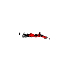 C=CCCCOc1ccc(C2=CCC(CCc3ccc(-c4ccc(C(O)CCC)cc4)c(F)c3F)CC2)cc1F